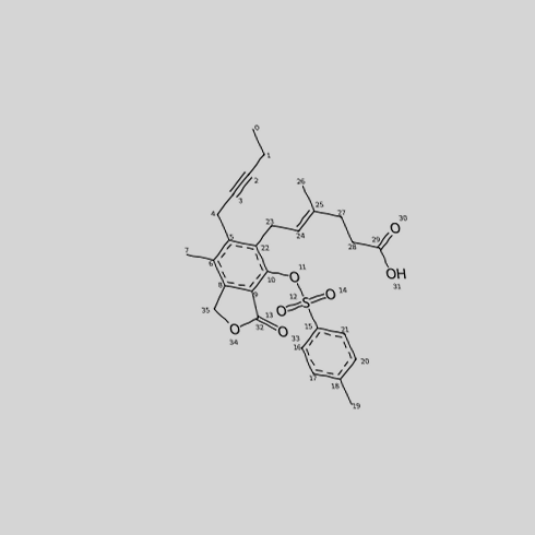 CCC#CCc1c(C)c2c(c(OS(=O)(=O)c3ccc(C)cc3)c1C/C=C(\C)CCC(=O)O)C(=O)OC2